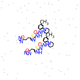 Cc1ccc(NC(=O)Nc2ncc(CCc3ncno3)s2)c(N2CCCCC2)c1.Cc1ccc(NC(=O)Nc2ncc(Cc3ncno3)s2)c(N2CCCCC2)c1